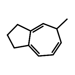 CC1C=CC=C2CCCC2=C1